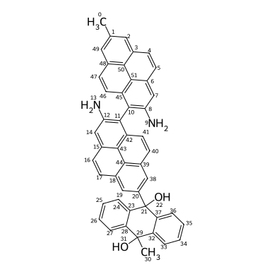 Cc1cc2ccc3cc(N)c(-c4c(N)cc5ccc6cc(C7(O)c8ccccc8C(C)(O)c8ccccc87)cc7ccc4c5c67)c4ccc(c1)c2c34